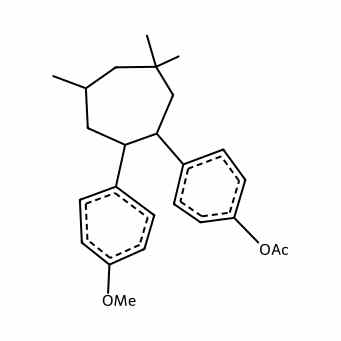 COc1ccc(C2CC(C)CC(C)(C)CC2c2ccc(OC(C)=O)cc2)cc1